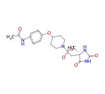 CC(=O)Nc1ccc(OC2CCN(S(=O)(=O)C[C@@]3(C)NC(=O)NC3=O)CC2)cc1